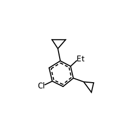 CCc1c(C2CC2)cc(Cl)cc1C1CC1